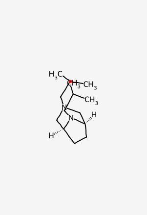 CC(C)CN1C[C@H]2CC[C@@H](C1)N2CC(C)C